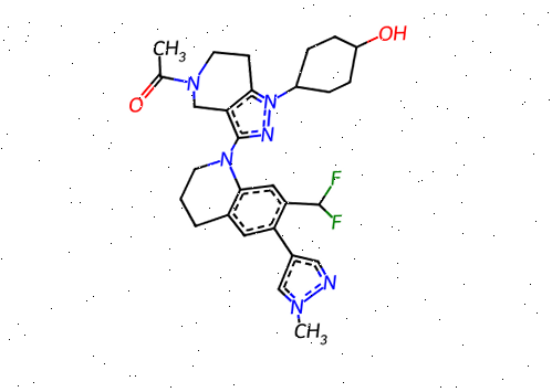 CC(=O)N1CCc2c(c(N3CCCc4cc(-c5cnn(C)c5)c(C(F)F)cc43)nn2C2CCC(O)CC2)C1